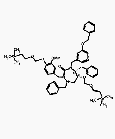 COc1cc(CN2C(=O)N(Cc3cccc(OCc4ccccc4)c3)[C@H](Cc3ccccc3)[C@H](OCOCC[Si](C)(C)C)CN2Cc2ccccc2)ccc1OCOCC[Si](C)(C)C